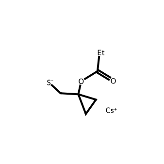 CCC(=O)OC1(C[S-])CC1.[Cs+]